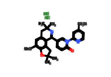 CCOC(=O)c1ccnc(-n2cc(C3=NC(C)(C)Cc4cc(OC)c5c(c43)CC(C)(C)O5)ccc2=O)c1.Cl.Cl